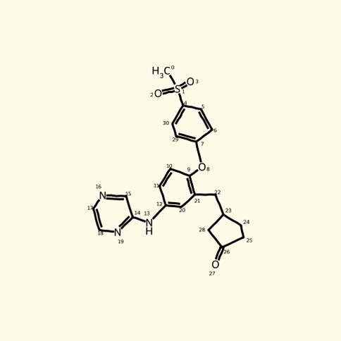 CS(=O)(=O)c1ccc(Oc2ccc(Nc3cnccn3)cc2CC2CCC(=O)C2)cc1